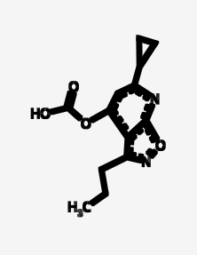 CCCc1noc2nc(C3CC3)cc(OC(=O)O)c12